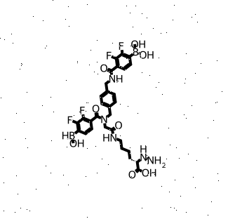 NN[C@@H](CCCCNC(=O)CN(Cc1ccc(CNC(=O)c2ccc(B(O)O)c(F)c2F)cc1)C(=O)c1ccc(BO)c(F)c1F)C(=O)O